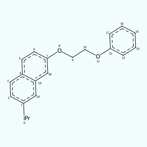 CC(C)c1ccc2ccc(OCCOc3ccccc3)cc2c1